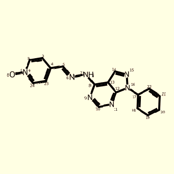 [O-][n+]1ccc(C=NNc2ncnc3c2cnn3-c2ccccc2)cc1